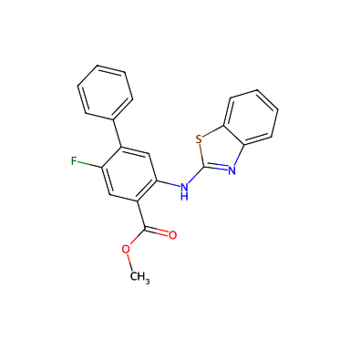 COC(=O)c1cc(F)c(-c2ccccc2)cc1Nc1nc2ccccc2s1